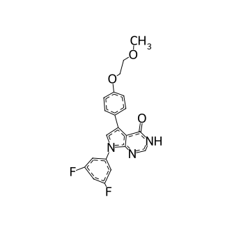 COCCOc1ccc(-c2cn(-c3cc(F)cc(F)c3)c3nc[nH]c(=O)c23)cc1